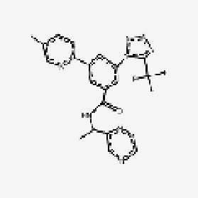 Cc1ccc(-c2cc(C(=O)NC(C)c3cnccn3)cc(-n3nnnc3C(C)(F)F)c2)nc1